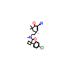 CN(CC[C@]1(C)C=C(C#N)C(=O)C(C)(C)C1)C(=O)C1(c2ccc(Cl)cc2)CCC1